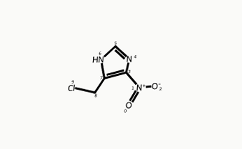 O=[N+]([O-])c1nc[nH]c1CCl